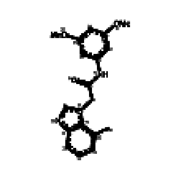 COc1cc(NC(=O)Cn2cnc3cccc(C)c32)cc(OC)c1